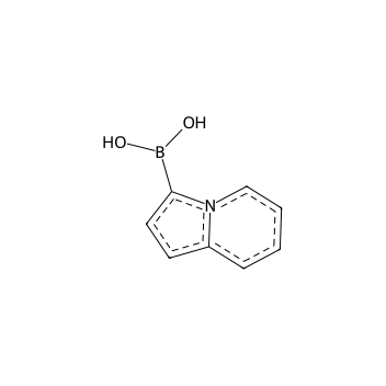 OB(O)c1ccc2ccccn12